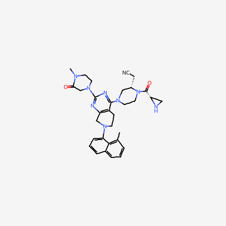 Cc1cccc2cccc(N3CCc4c(nc(N5CCN(C)C(=O)C5)nc4N4CCN(C(=O)[C@@H]5CN5)[C@@H](CC#N)C4)C3)c12